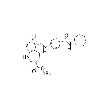 CC(C)(C)OC(=O)C1CCc2c(ccc(Cl)c2CNc2ccc(C(=O)NC3CCCCCC3)cc2)NC1